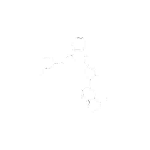 C=C/C(=C\N=C)CNC(=O)c1cccnc1NCc1ccc(-c2ccc3ncnc(N)c3c2)s1